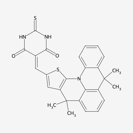 CC1(C)c2ccccc2N2c3sc(C=C4C(=O)NC(=S)NC4=O)cc3C(C)(C)c3cccc1c32